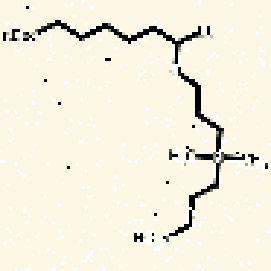 CCCCCCCCCCCCCCCC(CC)OCCC[N+](C)(C)CCCS(=O)(=O)O